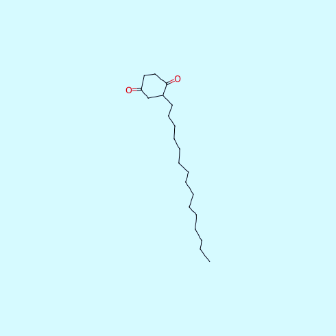 CCCCCCCCCCCCCCCC1CC(=O)CCC1=O